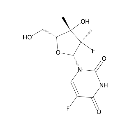 C[C@]1(O)[C@@H](CO)O[C@@H](n2cc(F)c(=O)[nH]c2=O)[C@]1(C)F